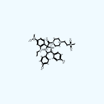 CCOc1cc([S+](C)[O-])ccc1C1(C(=O)N2CCN(CCS(C)(=O)=O)CC2)NC(c2ccc(Cl)cc2)C(c2ccc(Cl)cc2)N1